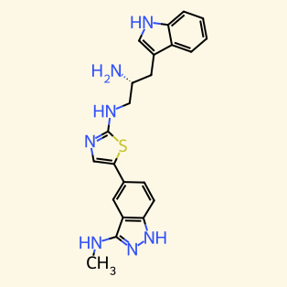 CNc1n[nH]c2ccc(-c3cnc(NC[C@H](N)Cc4c[nH]c5ccccc45)s3)cc12